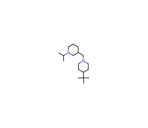 CC(C)N1CCCC(CN2CCC(C(C)(C)C)CC2)C1